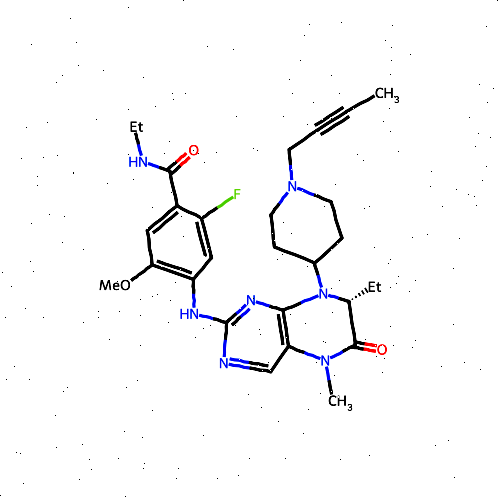 CC#CCN1CCC(N2c3nc(Nc4cc(F)c(C(=O)NCC)cc4OC)ncc3N(C)C(=O)[C@H]2CC)CC1